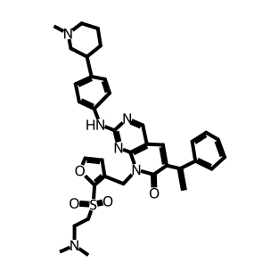 C=C(c1ccccc1)c1cc2cnc(Nc3ccc(C4CCCN(C)C4)cc3)nc2n(Cc2ccoc2S(=O)(=O)CCN(C)C)c1=O